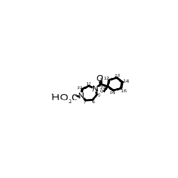 CC1(C(=O)N2CCCN(C(=O)O)CC2)CCCCC1